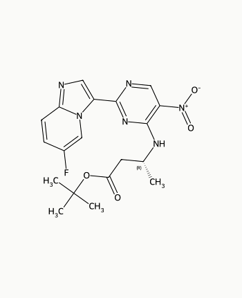 C[C@H](CC(=O)OC(C)(C)C)Nc1nc(-c2cnc3ccc(F)cn23)ncc1[N+](=O)[O-]